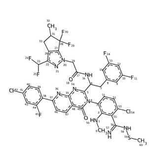 CNc1c(-n2c(C(Cc3cc(F)cc(F)c3)NC(=O)Cn3nc(C(F)F)c4c3C(F)(F)C(C)C4)nc3nc(-c4ccc(Cl)cc4F)ccc3c2=O)ccc(Cl)c1C(=N)NSC